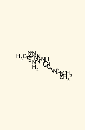 Cc1csc2c(-n3nc(Nc4ccc(/C=C/CN5CCC(N(C)C)C5)nc4)nc3N)ncnc12